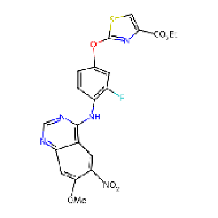 CCOC(=O)c1csc(Oc2ccc(Nc3ncnc4cc(OC)c([N+](=O)[O-])cc34)c(F)c2)n1